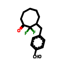 O=Cc1ccc(CC2CCCCCC(=O)C2(F)F)cc1